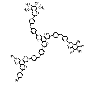 Cc1c(C)c(C)c2c(c1C)CN(c1ccc(Cc3ccc(N4COc5c(c6c(c7c5CN(c5ccc(Cc8ccc(N9COc%10c(c%11c(c%12c%10CN(C(C)C)CO%12)CN(c%10ccc(C(C)C)cc%10)CO%11)C9)cc8)cc5)CO7)CN(c5ccc(Cc7ccc(N8COc9c(c(C(C)C)c(C(C)C)c(C(C)C)c9C(C)C)C8)cc7)cc5)CO6)C4)cc3)cc1)CO2